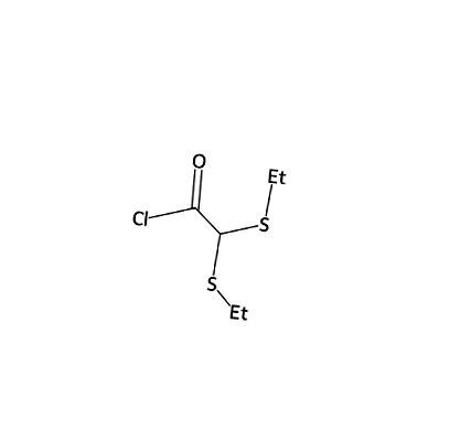 CCSC(SCC)C(=O)Cl